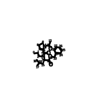 CCCN(C(=O)C1=CCCN1C(C)=O)[C@H](CC(C)C)C(=O)OCc1ccccc1